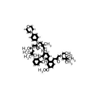 CCN(CC(=O)Cc1ccc(OC)cc1-c1ccc(NCC(C)(C)CN(C(=O)CN(C)CC(C)(C)C)c2ccc(N3CCOCC3)cc2)c(Oc2ccccc2C)n1)CC(C)(C)C